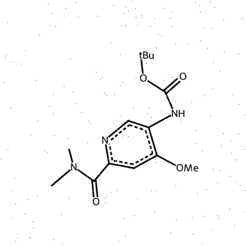 COc1cc(C(=O)N(C)C)ncc1NC(=O)OC(C)(C)C